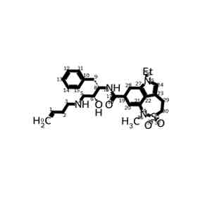 C=CCCNC[C@@H](O)[C@H](Cc1ccccc1)NC(=O)C1C=C2c3c(cn(CC)c3C1)CCS(=O)(=O)N2C